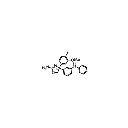 COc1cc([C@@]2(c3cccc(Nc4ccccc4)c3)COC(N)=N2)ccc1F